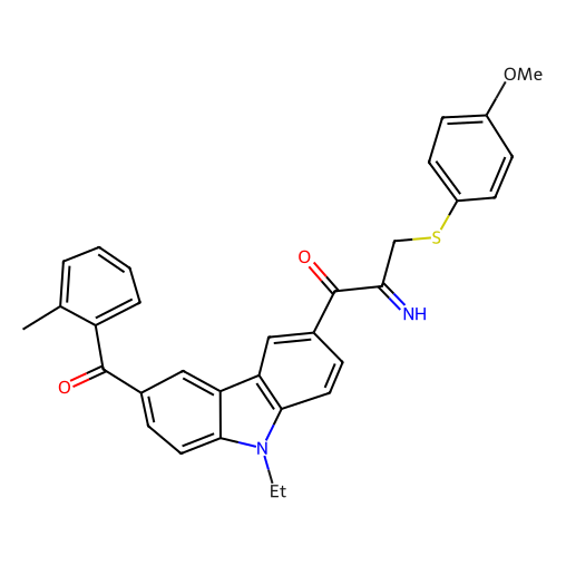 CCn1c2ccc(C(=O)C(=N)CSc3ccc(OC)cc3)cc2c2cc(C(=O)c3ccccc3C)ccc21